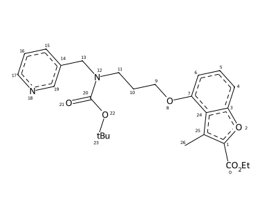 CCOC(=O)c1oc2cccc(OCCCN(Cc3cccnc3)C(=O)OC(C)(C)C)c2c1C